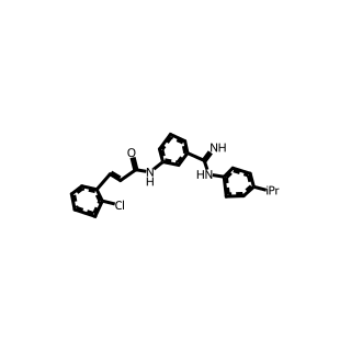 CC(C)c1ccc(NC(=N)c2cccc(NC(=O)C=Cc3ccccc3Cl)c2)cc1